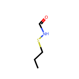 CCCSNC=O